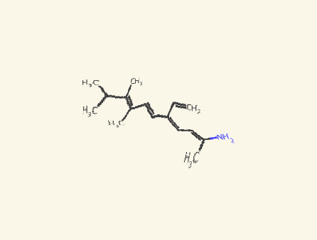 C=CC(/C=C/C(C)=C(\C)C(C)C)=C\C=C(/C)N